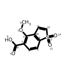 COc1c(C(=O)O)ccc2c1C=CS2(=O)=O